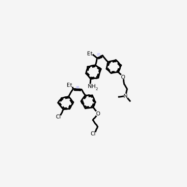 CC/C(=C/c1ccc(OCCCl)cc1)c1ccc(Cl)cc1.CC/C(=C/c1ccc(OCCN(C)C)cc1)c1ccc(N)cc1